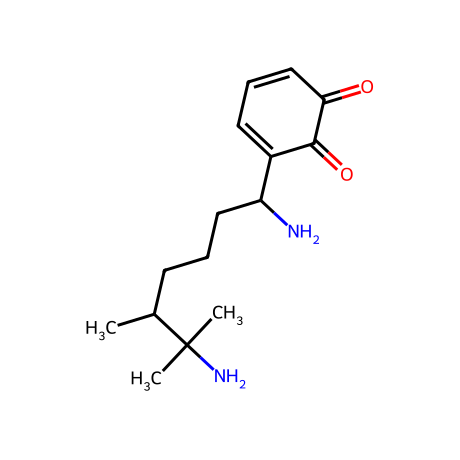 CC(CCCC(N)C1=CC=CC(=O)C1=O)C(C)(C)N